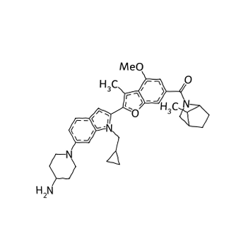 COc1cc(C(=O)N2CC3CCC2C3C)cc2oc(-c3cc4ccc(N5CCC(N)CC5)cc4n3CC3CC3)c(C)c12